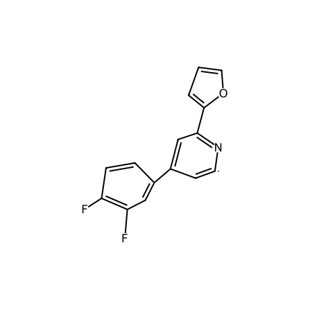 Fc1ccc(-c2c[c]nc(-c3ccco3)c2)cc1F